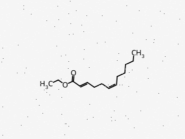 CCCCC/C=C\CC/C=C/C(=O)OCC